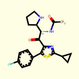 O=C(c1nc(C2CC2)sc1-c1ccc(F)cc1)[C@@H](NC(=O)C(F)(F)F)C1CCCN1